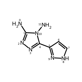 Nc1nnc(-c2cc[nH]n2)n1N